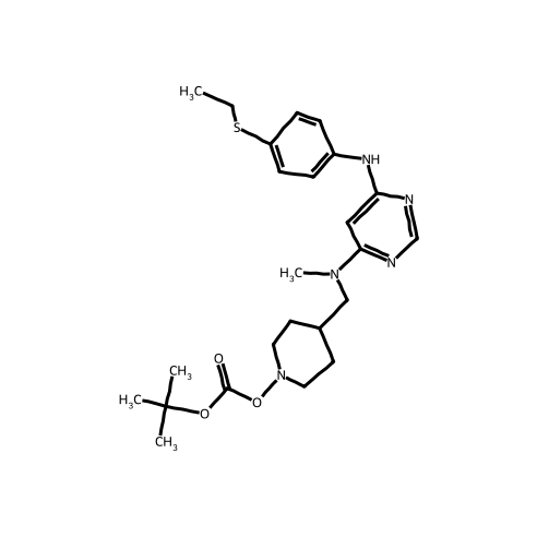 CCSc1ccc(Nc2cc(N(C)CC3CCN(OC(=O)OC(C)(C)C)CC3)ncn2)cc1